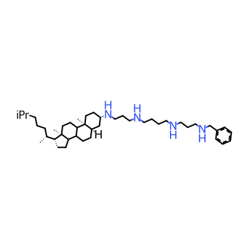 CC(C)CCC[C@@H](C)[C@H]1CCC2C3CC[C@@H]4C[C@@H](NCCCNCCCCNCCCNCc5ccccc5)CC[C@]4(C)C3CC[C@@]21C